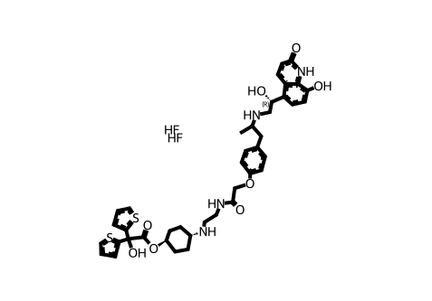 CC(Cc1ccc(OCC(=O)NCCN[C@H]2CC[C@H](OC(=O)C(O)(c3cccs3)c3cccs3)CC2)cc1)NC[C@H](O)c1ccc(O)c2[nH]c(=O)ccc12.F.F